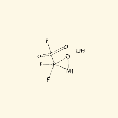 O=S(=O)(F)P1(F)(F)NO1.[LiH]